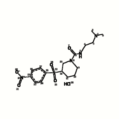 CN(C)CCNC(=O)N1CCCC(S(=O)(=O)c2ccc([N+](=O)[O-])cc2)C1.Cl